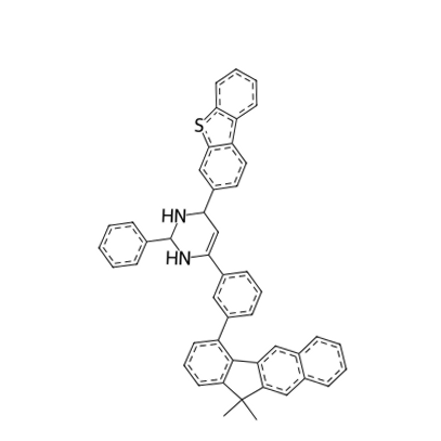 CC1(C)c2cc3ccccc3cc2-c2c(-c3cccc(C4=CC(c5ccc6c(c5)sc5ccccc56)NC(c5ccccc5)N4)c3)cccc21